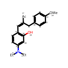 CCN(CC)c1ccc(C=C(Cc2ccc(OC)cc2)C(C)=O)c(O)c1